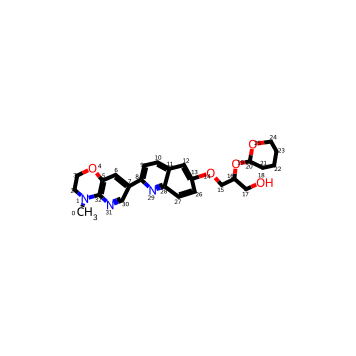 CN1CCOc2cc(-c3ccc4cc(OCC(CO)OC5CCCCO5)ccc4n3)cnc21